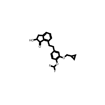 O=C1c2c(CCc3ccc(OC(F)F)c(OCC4CC4)c3)cccc2CC1O